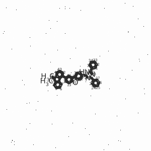 CC1(C)c2ccccc2-c2c(-c3ccc4oc5cc(C6N=C(c7ccccc7)N=C(c7ccccc7)N6)ccc5c4c3)cccc21